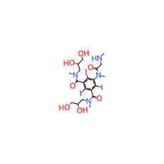 CNCC(=O)N(C)c1c(I)c(C(=O)N(C)CC(O)CO)c(I)c(C(=O)N(C)CC(O)CO)c1I